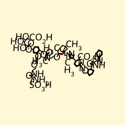 Cc1c(-c2ccc(N3CCc4cccc(C(=O)Nc5nc6ccccc6s5)c4C3)nc2C(=O)O)cnn1CC12CC3(C)CC(C)(C1)CC(OCCN(C)C(=O)OCc1ccc(O[C@@H]4O[C@H](C(=O)O)[C@@H](O)[C@H](O)[C@H]4O)cc1OCCOCCNC(=O)[C@@H](N)CS(=O)(=O)O)(C3)C2